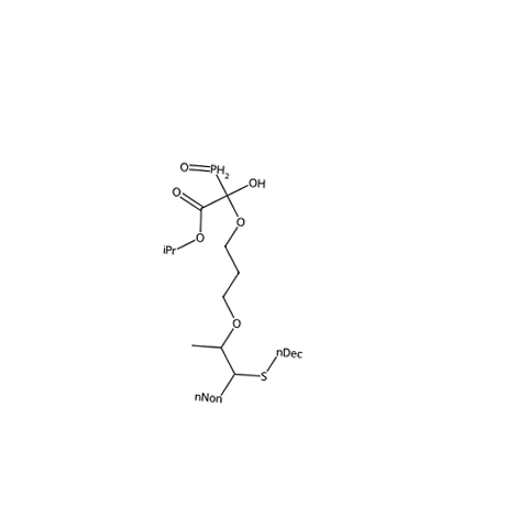 CCCCCCCCCCSC(CCCCCCCCC)C(C)OCCCOC(O)([PH2]=O)C(=O)OC(C)C